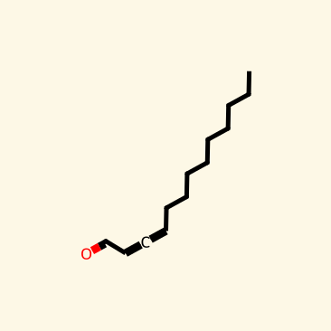 CCCCCCCCCC=C=CC=O